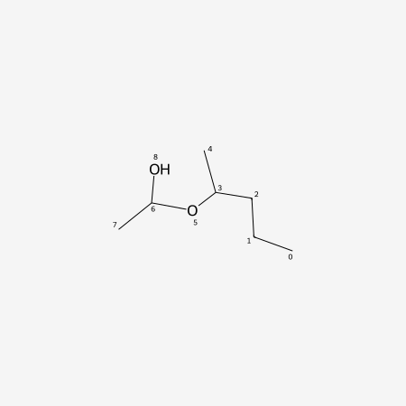 CCCC(C)OC(C)O